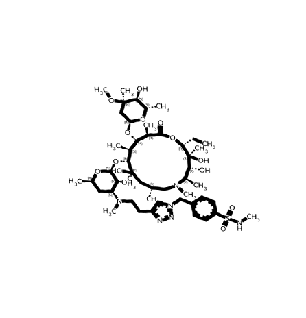 CC[C@H]1OC(=O)[C@H](C)[C@@H](O[C@H]2C[C@@](C)(OC)[C@@H](O)[C@H](C)O2)[C@H](C)[C@@H](O[C@@H]2O[C@H](C)C[C@H](N(C)CCc3cn(Cc4ccc(S(=O)(=O)NC)cc4)nn3)[C@H]2O)[C@](C)(O)C[C@@H](C)CN(C)[C@H](C)[C@@H](O)[C@]1(C)O